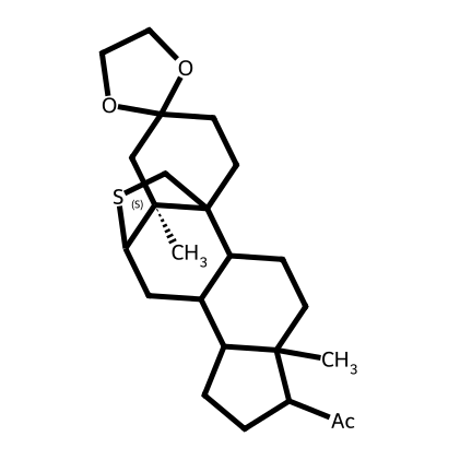 CC(=O)C1CCC2C3CC4SCC5(CCC6(C[C@]45C)OCCO6)C3CCC12C